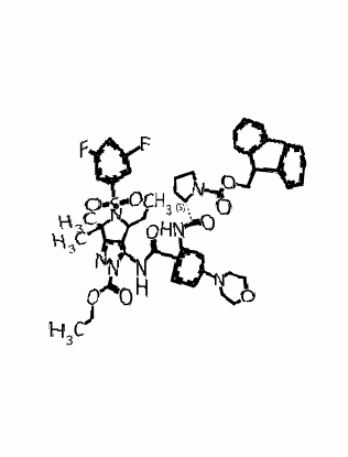 CCOC(=O)n1nc2c(c1NC(=O)c1ccc(N3CCOCC3)cc1NC(=O)[C@@H]1CCCN1C(=O)OCC1c3ccccc3-c3ccccc31)C(CC)N(S(=O)(=O)c1cc(F)cc(F)c1)C2(C)C